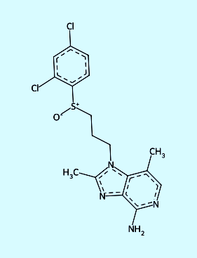 Cc1cnc(N)c2nc(C)n(CCC[S+]([O-])c3ccc(Cl)cc3Cl)c12